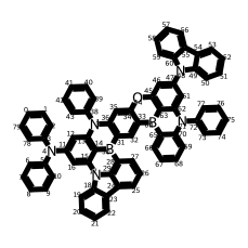 c1ccc(N(c2ccccc2)c2cc3c4c(c2)-n2c5ccccc5c5cccc(c52)B4c2cc4c(cc2N3c2ccccc2)Oc2cc(-n3c5ccccc5c5ccccc53)cc3c2B4c2ccccc2N3c2ccccc2)cc1